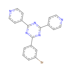 Brc1cccc(-c2nc(-c3ccncc3)nc(-c3ccncc3)n2)c1